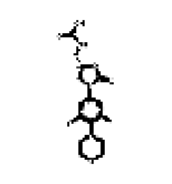 O=C(O)NC[C@H]1CN(c2cc(F)c(N3CCSCC3)c(F)c2)C(=O)O1